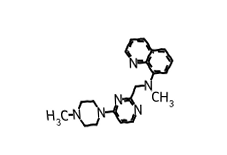 CN1CCN(c2ccnc(CN(C)c3cccc4cccnc34)n2)CC1